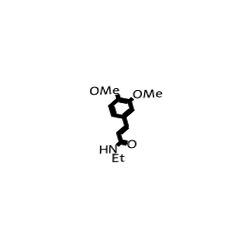 CCNC(=O)C=Cc1ccc(OC)c(OC)c1